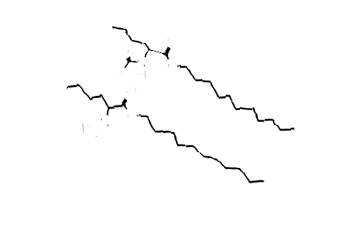 CCCCCCCCCCCOC(=O)C(CCCC)NC(=O)O.CCCCCCCCCCCOC(=O)C(N)CCCC